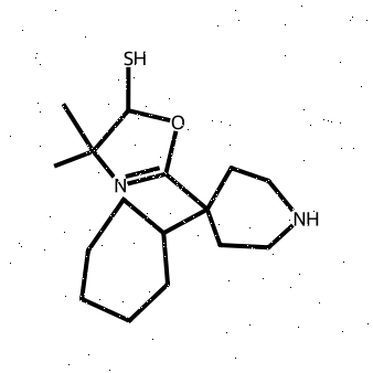 CC1(C)N=C(C2(C3CCCCC3)CCNCC2)OC1S